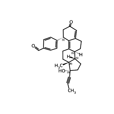 CC#C[C@]1(O)CC[C@H]2[C@@H]3CCC4=CC(=O)C[C@@H](c5ccc(C=O)cc5)C4=C3CC[C@]21C